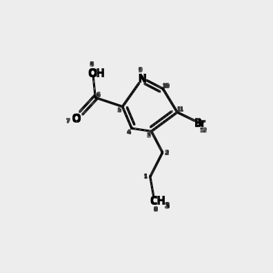 CCCc1cc(C(=O)O)ncc1Br